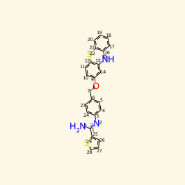 N/C(=N\c1ccc(COc2ccc3c(c2)Nc2ccccc2S3)cc1)c1cccs1